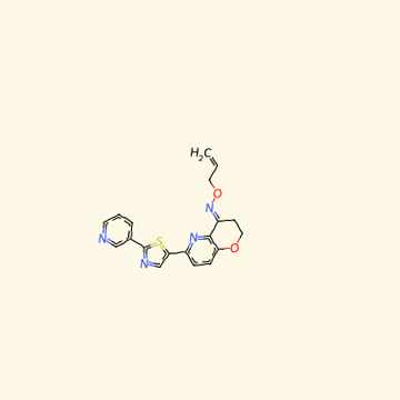 C=CCO/N=C1\CCOc2ccc(-c3cnc(-c4cccnc4)s3)nc21